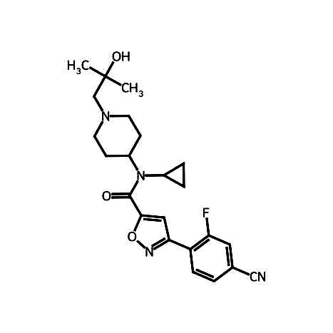 CC(C)(O)CN1CCC(N(C(=O)c2cc(-c3ccc(C#N)cc3F)no2)C2CC2)CC1